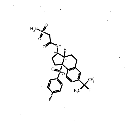 NS(=O)(=O)CC(=O)N[C@@H]1CC[C@@]2(S(=O)(=O)c3ccc(F)cc3)c3ccc(C(F)(C(F)(F)F)C(F)(F)F)cc3CC[C@@H]12